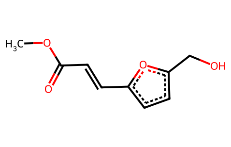 COC(=O)/C=C/c1ccc(CO)o1